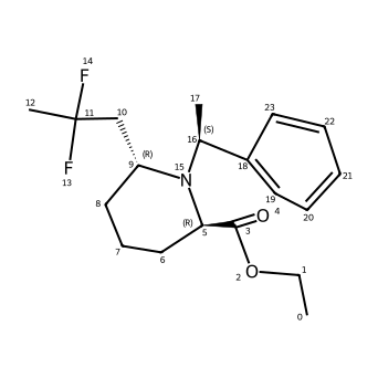 CCOC(=O)[C@H]1CCC[C@H](CC(C)(F)F)N1[C@@H](C)c1ccccc1